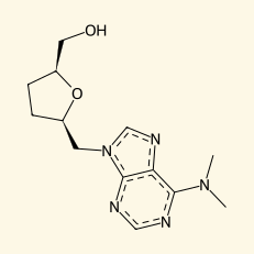 CN(C)c1ncnc2c1ncn2C[C@H]1CC[C@@H](CO)O1